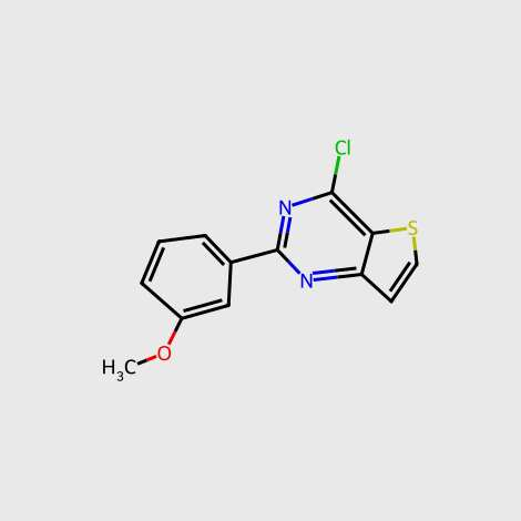 COc1cccc(-c2nc(Cl)c3sccc3n2)c1